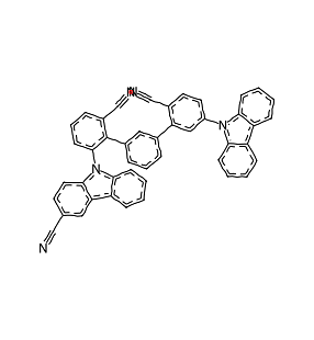 N#Cc1ccc2c(c1)c1ccccc1n2-c1cccc(C#N)c1-c1cccc(-c2cc(-n3c4ccccc4c4ccccc43)ccc2C#N)c1